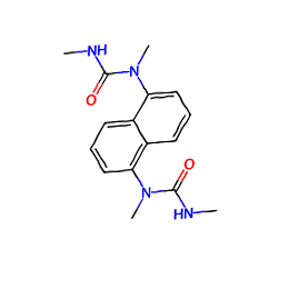 CNC(=O)N(C)c1cccc2c(N(C)C(=O)NC)cccc12